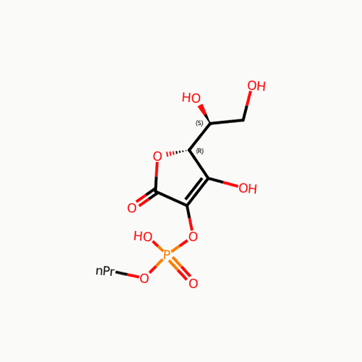 CCCOP(=O)(O)OC1=C(O)[C@@H]([C@@H](O)CO)OC1=O